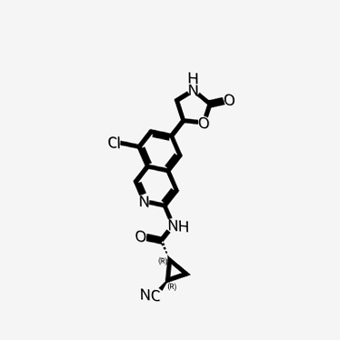 N#C[C@@H]1C[C@H]1C(=O)Nc1cc2cc(C3CNC(=O)O3)cc(Cl)c2cn1